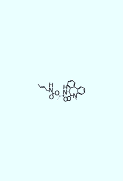 C/C=C/CNC(=O)O[C@@H](C)C(=O)N[C@@H]1C(=O)N(C)c2ccccc2-c2ccccc21